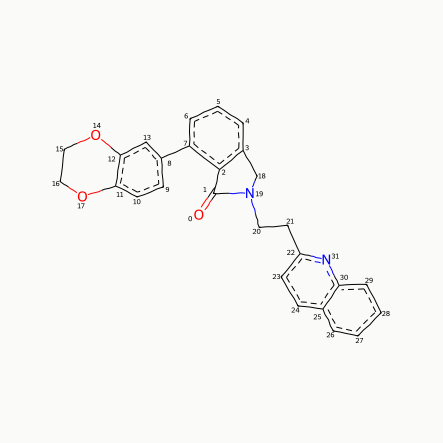 O=C1c2c(cccc2-c2ccc3c(c2)OCCO3)CN1CCc1ccc2ccccc2n1